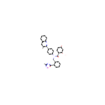 Cc1noc(-c2ccccc2CN(C(=O)c2ccc(O)cc2O)c2ccc(-c3nc4ccccc4cc3C)cc2)n1